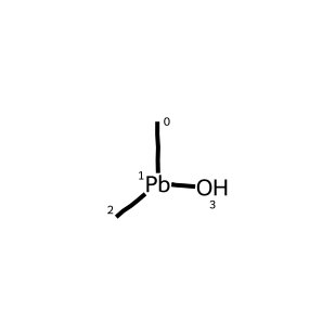 [CH3][Pb]([CH3])[OH]